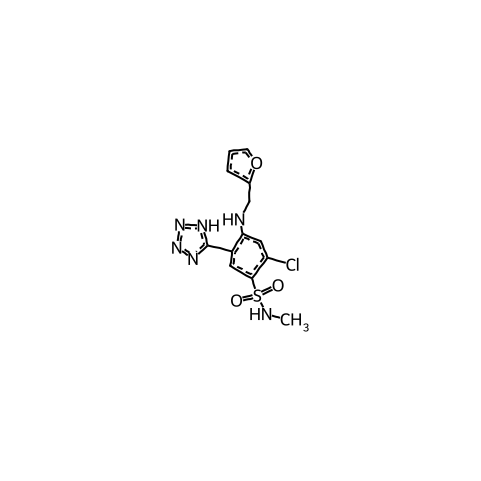 CNS(=O)(=O)c1cc(-c2nnn[nH]2)c(NCc2ccco2)cc1Cl